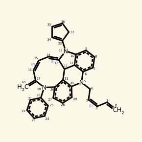 C=C/C=C\CN1c2cccc3c2C2/C(=C\C=C/C(=C)N(c4ccccc4)c4cccc1c42)N3C1=CC=CC1